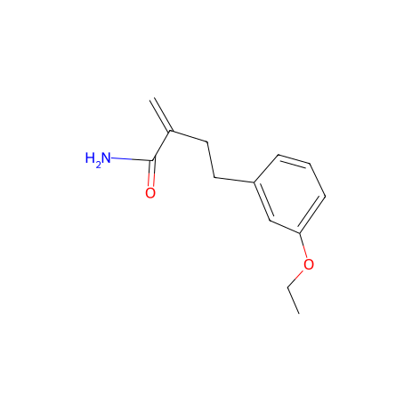 C=C(CCc1cccc(OCC)c1)C(N)=O